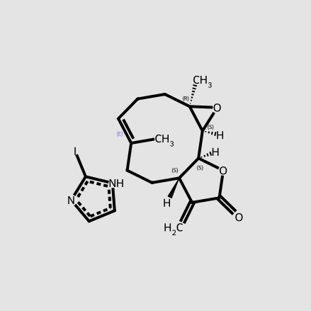 C=C1C(=O)O[C@H]2[C@H]1CC/C(C)=C/CC[C@@]1(C)O[C@@H]21.Ic1ncc[nH]1